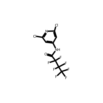 O=C(Nc1cc(Cl)nc(Cl)c1)C(F)(F)C(F)(F)C(F)(F)F